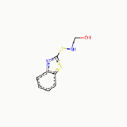 OCNSc1nc2ccccc2s1